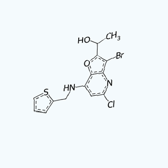 CC(O)c1oc2c(NCc3cccs3)cc(Cl)nc2c1Br